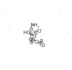 NCCOCC(O)N(C[C@H]1CN(c2ccc(N3CCOCC3=O)cc2)C(=O)O1)C(=O)c1ccc(Cl)s1